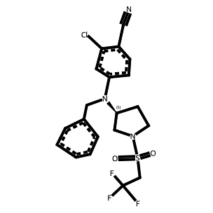 N#Cc1ccc(N(Cc2ccccc2)[C@H]2CCN(S(=O)(=O)CC(F)(F)F)C2)cc1Cl